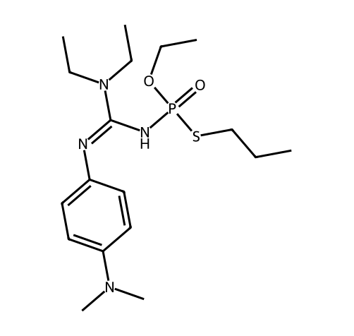 CCCSP(=O)(NC(=Nc1ccc(N(C)C)cc1)N(CC)CC)OCC